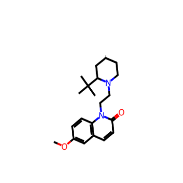 COc1ccc2c(ccc(=O)n2CCN2CC[CH]CC2C(C)(C)C)c1